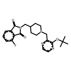 CC(C)(C)Oc1nccnc1CN1CCC(CN2C(=O)c3cccc(F)c3C2=O)CC1